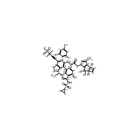 CC(C)(C#Cc1nc([C@H](Cc2cc(F)cc(F)c2)NC(=O)Cn2nc(C(F)(F)F)c3c2C(F)(F)[C@@H]2C=C[C@H]32)c(-c2ccc(Cl)c3c(NS(=O)(=O)C4CC4)nn(CC(F)(F)F)c23)c2c1CCC2)S(C)(=O)=O